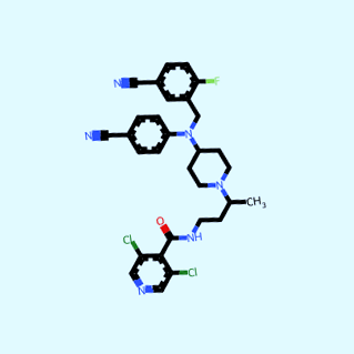 CC(CCNC(=O)c1c(Cl)cncc1Cl)N1CCC(N(Cc2cc(C#N)ccc2F)c2ccc(C#N)cc2)CC1